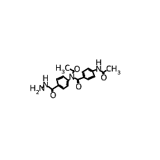 CC(=O)Nc1ccc(C(=O)N(C(C)=O)c2ccc(C(=O)NN)cc2)cc1